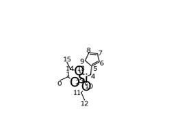 CCO[Si](CC1=CC=CC1)(OCC)OCC